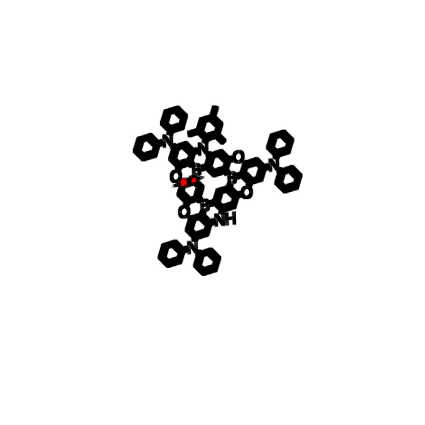 Cc1cc(C)c(N2c3cc4c(cc3B3c5ccccc5Oc5cc(N(c6ccccc6)c6ccccc6)cc2c53)B2c3cc5c(cc3Oc3cc(N(c6ccccc6)c6ccccc6)cc(c32)O4)Nc2cc(N(c3ccccc3)c3ccccc3)cc3c2B5c2ccccc2O3)c(C)c1